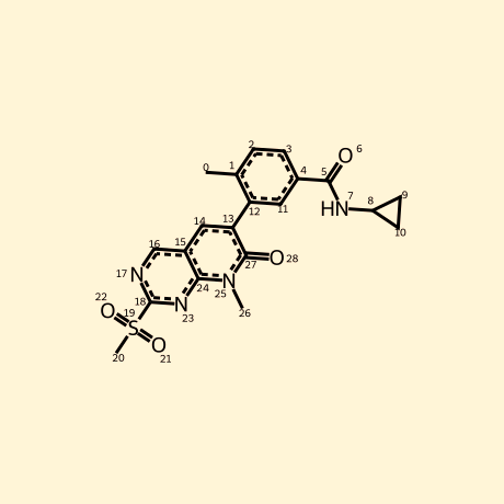 Cc1ccc(C(=O)NC2CC2)cc1-c1cc2cnc(S(C)(=O)=O)nc2n(C)c1=O